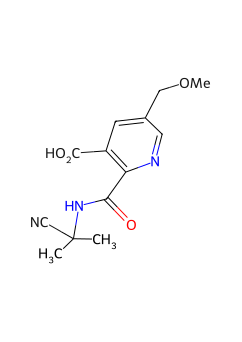 COCc1cnc(C(=O)NC(C)(C)C#N)c(C(=O)O)c1